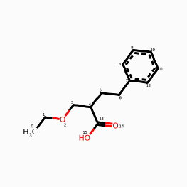 CCOCC(CCc1ccccc1)C(=O)O